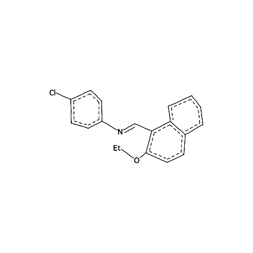 CCOc1ccc2ccccc2c1/C=N/c1ccc(Cl)cc1